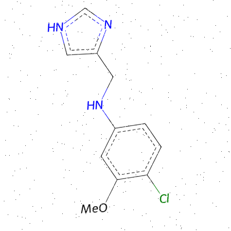 COc1cc(NCc2c[nH]cn2)ccc1Cl